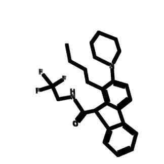 CCCCc1c(N2CCCCC2)ccc2c1C(C(=O)NCC(F)(F)F)c1ccccc1-2